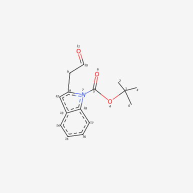 CC(C)(C)OC(=O)n1c(CC=O)cc2ccccc21